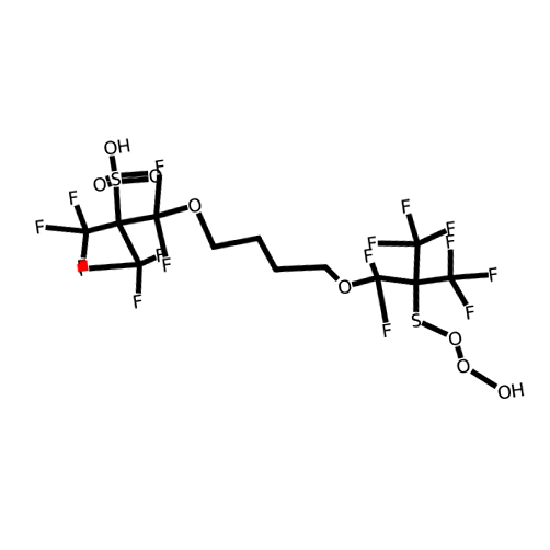 O=S(=O)(O)C(C(F)(F)F)(C(F)(F)F)C(F)(F)OCCCCOC(F)(F)C(SOOO)(C(F)(F)F)C(F)(F)F